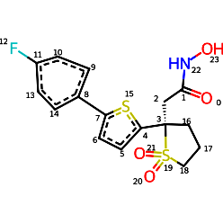 O=C(C[C@]1(c2ccc(-c3ccc(F)cc3)s2)CCCS1(=O)=O)NO